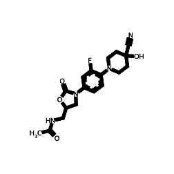 CC(=O)NCC1CN(c2ccc(N3CCC(O)(C#N)CC3)c(F)c2)C(=O)O1